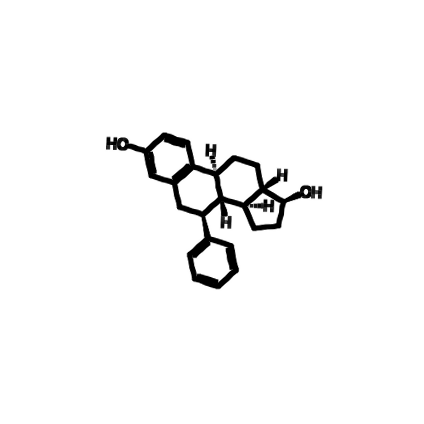 Oc1ccc2c(c1)C[C@H](c1ccccc1)[C@H]1[C@@H]3CC[C@H](O)[C@H]3CC[C@H]21